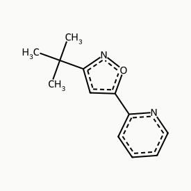 CC(C)(C)c1cc(-c2ccccn2)on1